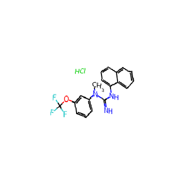 CN(C(=N)Nc1cccc2ccccc12)c1cccc(OC(F)(F)F)c1.Cl